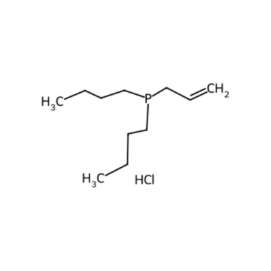 C=CCP(CCCC)CCCC.Cl